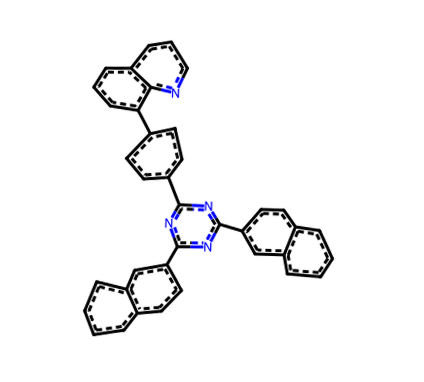 c1ccc2cc(-c3nc(-c4ccc(-c5cccc6cccnc56)cc4)nc(-c4ccc5ccccc5c4)n3)ccc2c1